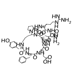 N=C(N)NCCC[C@H](NC(=O)[C@@H]1CCCN1C1CCCN[C@@H](Cc2ccc(O)cc2)C(=O)N[C@@H](Cc2ccccc2)C(=O)N[C@@H](CCC(=O)O)C(=O)NN[C@@H](CC(=O)O)C(=O)N1)C(=O)NCC(N)=O